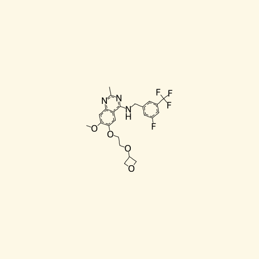 COc1cc2nc(C)nc(NCc3cc(F)cc(C(F)(F)F)c3)c2cc1OCCOC1COC1